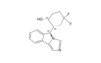 O[C@@H]1CCC(F)(F)C[C@@H]1[C@@H]1c2ccccc2-c2cncn21